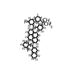 CC1(C)c2ccccc2-c2c(N(c3cccc(F)c3)c3ccc4ccc5c(N(c6ccc7ccccc7c6)c6ncccc6F)ccc6ccc3c4c65)cccc21